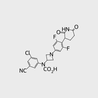 N#Cc1cc(Cl)cc(N(C(=O)O)C2CN(c3cc(F)c(C4CCC(=O)NC4=O)c(F)c3)C2)c1